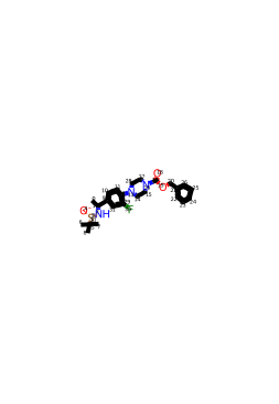 CC(N[S@@+]([O-])C(C)(C)C)c1ccc(N2CCN(C(=O)OCc3ccccc3)CC2)c(F)c1